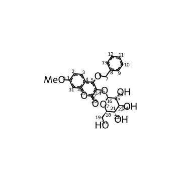 COc1ccc2c(OCc3ccccc3)c(O[C@@H]3O[C@H](CO)[C@@H](O)[C@H](O)[C@H]3O)c(=O)oc2c1